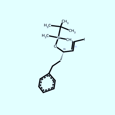 CC(C)(C)[Si](C)(C)O[C@H](/C=C/I)CCc1ccccc1